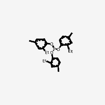 CCc1cc(C)ccc1OP(Oc1ccc(C)cc1CC)Oc1ccc(C)cc1CC